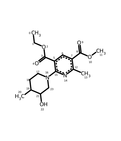 CCOC(=O)c1cc(C(=O)OC)c(C)nc1N1CCC(C)C(O)C1